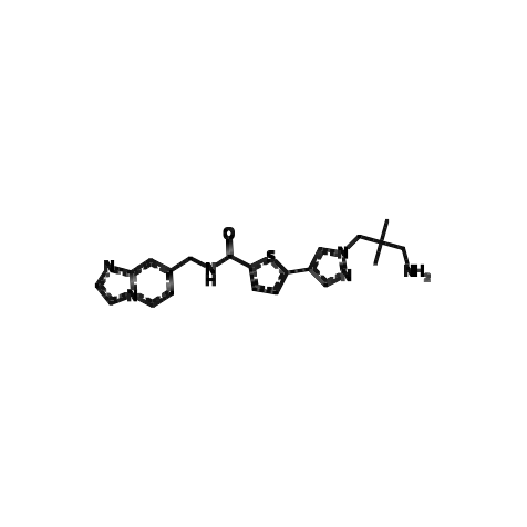 CC(C)(CN)Cn1cc(-c2ccc(C(=O)NCc3ccn4ccnc4c3)s2)cn1